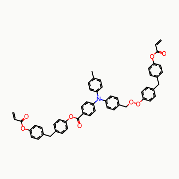 C=CC(=O)Oc1ccc(Cc2ccc(OOCc3ccc(N(c4ccc(C)cc4)c4ccc(C(=O)Oc5ccc(Cc6ccc(OC(=O)C=C)cc6)cc5)cc4)cc3)cc2)cc1